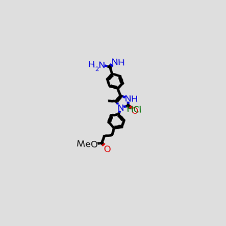 COC(=O)CCc1ccc(-n2c(C)c(-c3ccc(C(=N)N)cc3)[nH]c2=O)cc1.Cl